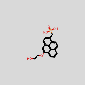 O=P(O)(O)Cc1ccc2cc(OCCO)c3cccc4ccc1c2c43